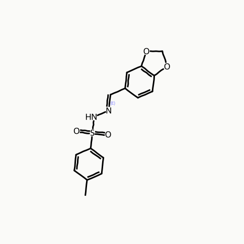 Cc1ccc(S(=O)(=O)N/N=C/c2ccc3c(c2)OCO3)cc1